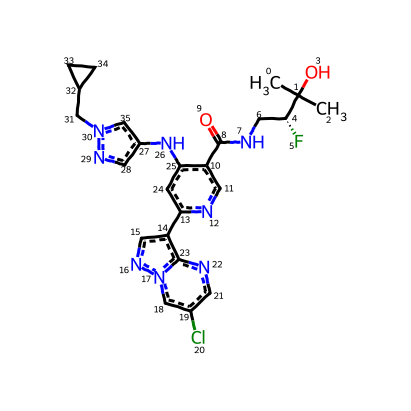 CC(C)(O)[C@H](F)CNC(=O)c1cnc(-c2cnn3cc(Cl)cnc23)cc1Nc1cnn(CC2CC2)c1